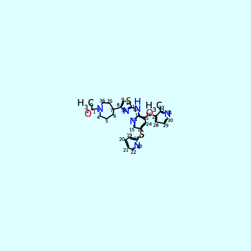 CC(=O)N1CCCC(c2csc(Nc3ncc(Sc4ccccn4)cc3Oc3cccnc3C)n2)CC1